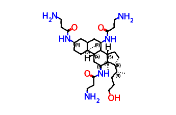 C[C@H](CCCO)[C@H]1CC[C@H]2C3[C@H](NC(=O)CCN)CC4C[C@H](NC(=O)CCN)CC[C@]4(C)[C@H]3C[C@H](NC(=O)CCN)[C@]12C